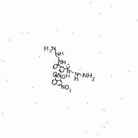 NCCNCCCNC(=O)c1cc(C(=O)NCCCNCCN)cc(N2C(=O)c3cccc4cc([N+](=O)[O-])cc(c34)C2=O)c1